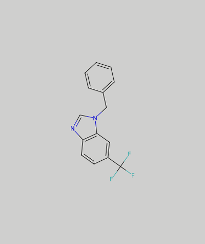 FC(F)(F)c1ccc2ncn(Cc3ccccc3)c2c1